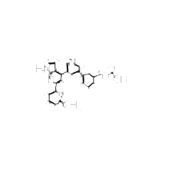 CC(=O)OCc1cccc(-c2cncc(-c3cc(-c4cccc(C)n4)nc4[nH]ccc34)c2)c1